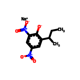 CCC(C)c1cc([N+](=O)[O-])cc([N+](=O)[O-])c1[O-].[Na+]